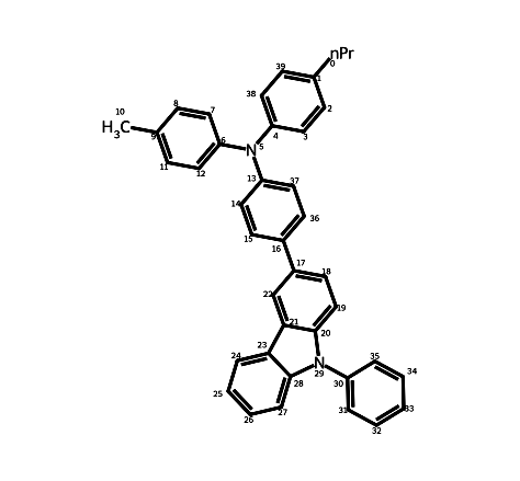 CCCc1ccc(N(c2ccc(C)cc2)c2ccc(-c3ccc4c(c3)c3ccccc3n4-c3ccccc3)cc2)cc1